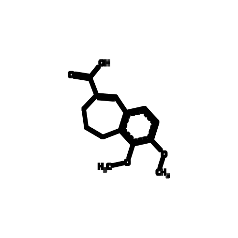 COc1ccc2c(c1OC)CCCC(C(=O)O)=C2